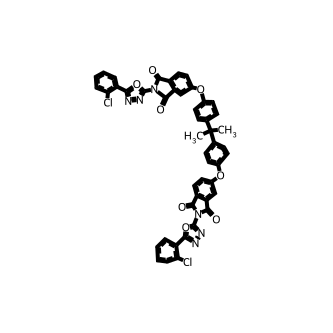 CC(C)(c1ccc(Oc2ccc3c(c2)C(=O)N(c2nnc(-c4ccccc4Cl)o2)C3=O)cc1)c1ccc(Oc2ccc3c(c2)C(=O)N(c2nnc(-c4ccccc4Cl)o2)C3=O)cc1